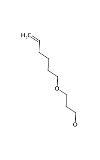 C=CCCCCOCCC[O]